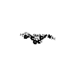 COc1nc(-c2cccc(-c3ccnc(-c4cc(OC)c5nc(CN6CC7(C6)CN(C(C)=O)C7)cn5c4)c3Cl)c2Cl)ccc1CN(CC1CCC(=O)N1)C(=O)O